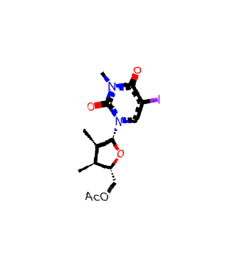 CC(=O)OC[C@H]1O[C@@H](n2cc(I)c(=O)n(C)c2=O)[C@H](C)[C@@H]1C